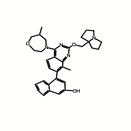 Cc1c(-c2cc(O)cc3ccccc23)ccc2c(N3CCOCC(C)C3)nc(OCC34CCCN3CCC4)nc12